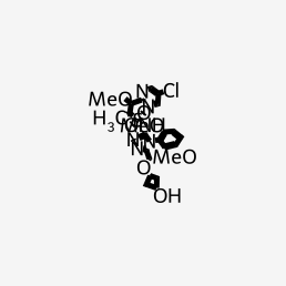 COc1cccc(OC)c1-n1c(COC2CC(O)C2)nnc1NS(=O)(=O)C(C)C(OC)c1ncc(Cl)cn1